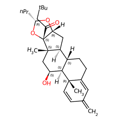 C=C1C=C[C@@]2(C)C(=C1)CC[C@@H]1[C@@H]2[C@@H](O)C[C@@]2(C)[C@H]1C[C@H]1O[C@@H](CCC)O[C@]12C(=O)CC(C)(C)C